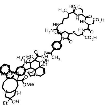 CC[C@]1(O)C[C@H]2CN(CCc3c([nH]c4ccccc34)[C@@](C(=O)OC)(c3cc4c(cc3OC)N(C)[C@H]3[C@@](O)(C(=O)N/N=C(\C)c5ccc(N6C(=O)CC(SC[C@H](NC(=O)[C@H](CC(=O)O)NC(=O)[C@H](CC(=O)O)NC(=O)[C@@H](C)CCCNC(=N)N)C(=O)O)C6=O)cc5)[C@H](O)[C@]5(CC)C=CCN6CC[C@]43[C@@H]65)C2)C1